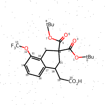 CC(C)(C)OC(=O)C1(C(=O)OC(C)(C)C)Cc2c(OC(F)(F)F)cccc2C(CC(=O)O)C1